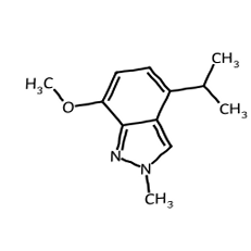 COc1ccc(C(C)C)c2cn(C)nc12